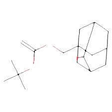 C=C(OCC12CC3CC(C1)C(O)C(C3)C2)OC(C)(C)C